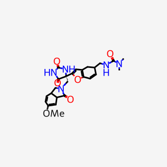 COC1=CC2C(=O)N(C[C@@]3(c4cc5c(o4)C=CC(CNC(=O)N(C)C)C5)NC(=O)NC3=O)CC2C=C1